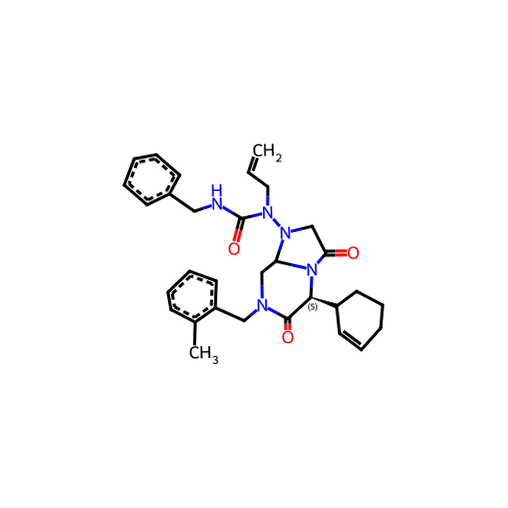 C=CCN(C(=O)NCc1ccccc1)N1CC(=O)N2C1CN(Cc1ccccc1C)C(=O)[C@@H]2C1C=CCCC1